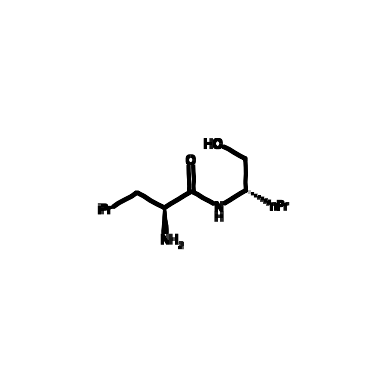 CCC[C@@H](CO)NC(=O)[C@@H](N)CC(C)C